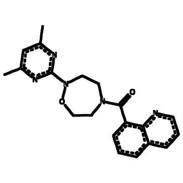 Cc1cc(C)nc(N2CCN(C(=O)c3cccc4cccnc34)CCO2)n1